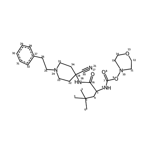 CC(C)(C)CC(NC(=O)ON1CCOCC1)C(=O)NC1(C#N)CCN(CCc2ccccc2)CC1